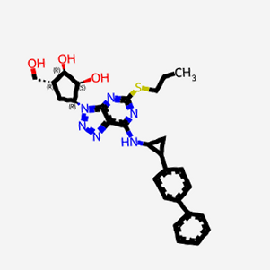 CCCSc1nc(NC2CC2c2ccc(-c3ccccc3)cc2)c2nnn([C@@H]3C[C@H](CO)[C@@H](O)[C@H]3O)c2n1